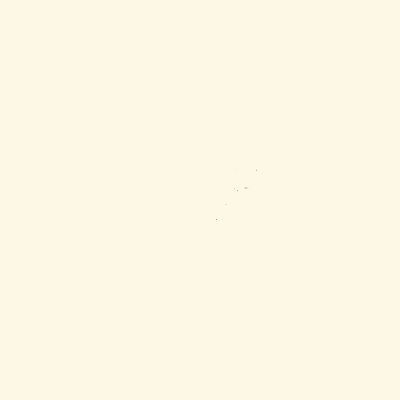 CCCCOS(=O)(=O)C(F)(F)C(F)(F)[n+]1ccn(C)c1